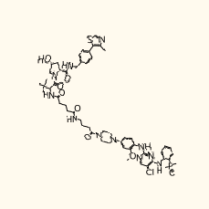 COc1cc(N2CCN(C(=O)CCCNC(=O)CCCC(=O)NC(C(=O)N3C[C@H](O)C[C@H]3C(=O)NCc3ccc(-c4scnc4C)cc3)C(C)(C)C)CC2)ccc1Nc1ncc(Cl)c(Nc2ccccc2P(C)(C)=O)n1